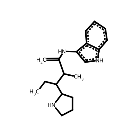 C=C(Nc1c[nH]c2ccccc12)C(C)C(CC)C1CCCN1